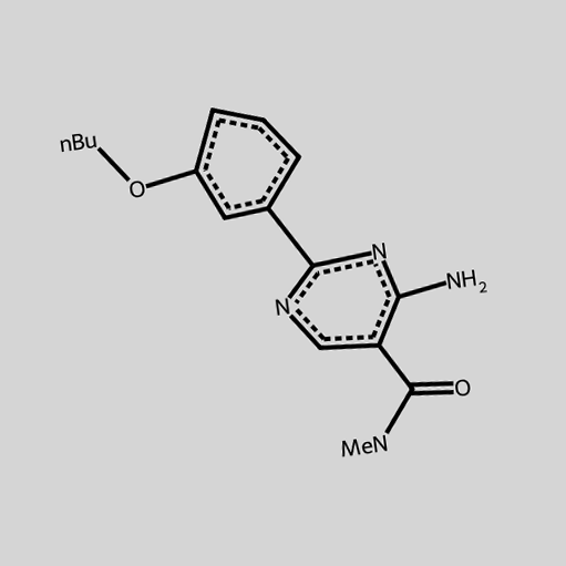 CCCCOc1cccc(-c2ncc(C(=O)NC)c(N)n2)c1